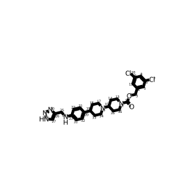 O=C(OCc1cc(Cl)cc(Cl)c1)N1CCC(N2CCC(c3ccc(NCc4c[nH]nn4)cc3)CC2)CC1